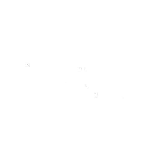 Cc1cc(CC(=O)Nc2cc(C3C[CH]CO3)[nH]n2)on1